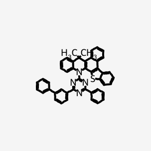 CC1(C)c2ccccc2N(c2nc(-c3ccccc3)nc(-c3cccc(-c4ccccc4)c3)n2)c2c1c1ccccc1c1c2sc2ccccc21